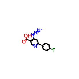 [N-]=[N+]=Nc1cc(-c2ccc(F)cc2)ncc1C(=O)O